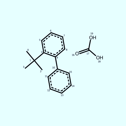 CC(C)(C)c1ccccc1-c1ccccc1.O=C(O)O